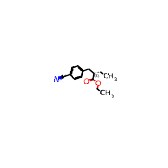 CCOC(=O)[C@@H](CC)Cc1ccc(C#N)cc1